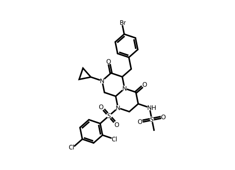 CS(=O)(=O)NC1CN(S(=O)(=O)c2ccc(Cl)cc2Cl)C2CN(C3CC3)C(=O)C(Cc3ccc(Br)cc3)N2C1=O